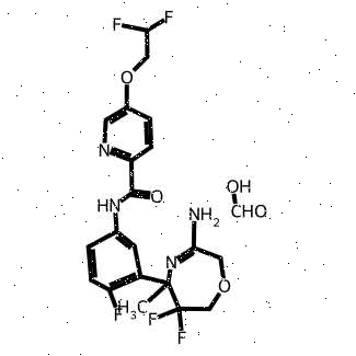 CC1(c2cc(NC(=O)c3ccc(OCC(F)F)cn3)ccc2F)N=C(N)COCC1(F)F.O=CO